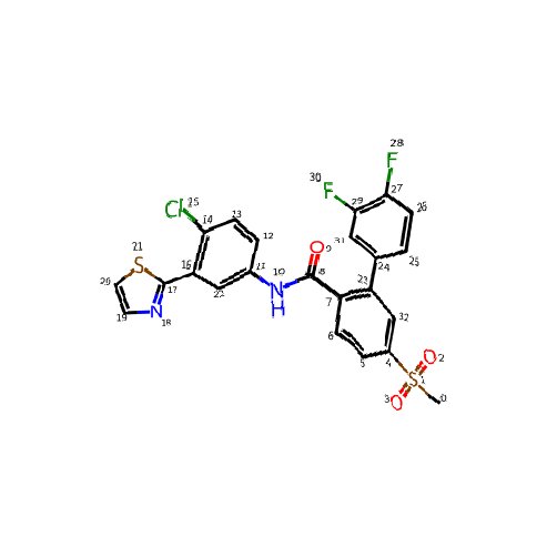 CS(=O)(=O)c1ccc(C(=O)Nc2ccc(Cl)c(-c3nccs3)c2)c(-c2ccc(F)c(F)c2)c1